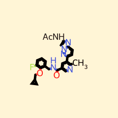 CC(=O)Nc1cn2nc(-c3cc(C(=O)NCc4cccc(F)c4OCC4CC4)cnc3C)ccc2n1